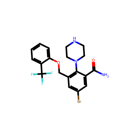 NC(=O)c1cc(Br)cc(COc2ccccc2C(F)(F)F)c1N1CCNCC1